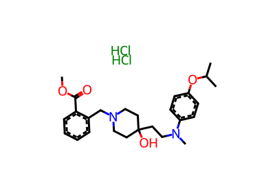 COC(=O)c1ccccc1CN1CCC(O)(CCN(C)c2ccc(OC(C)C)cc2)CC1.Cl.Cl